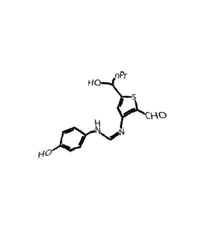 CCCC(O)c1cc(/N=C\Nc2ccc(O)cc2)c(C=O)s1